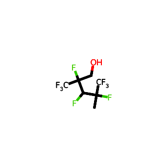 CC(F)(C(F)C(F)(CO)C(F)(F)F)C(F)(F)F